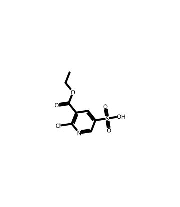 CCOC(=O)c1cc(S(=O)(=O)O)cnc1Cl